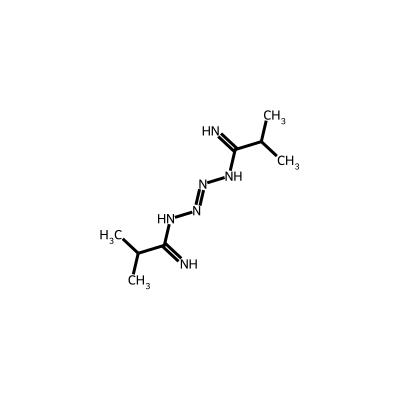 CC(C)C(=N)NN=NNC(=N)C(C)C